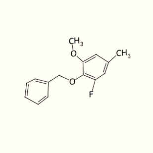 COc1cc(C)cc(F)c1OCc1ccccc1